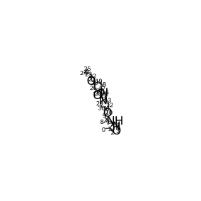 Cc1conc1NC(C)COC1CCN(c2nc3ccc(OCC4CC4)cc3o2)CC1